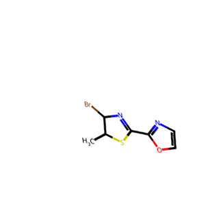 CC1SC(c2ncco2)=NC1Br